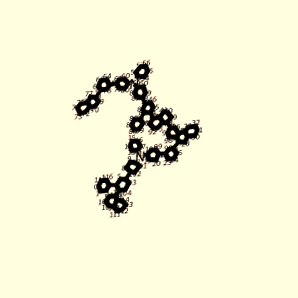 c1ccc(-c2cc(-c3ccc(N(c4ccccc4)c4ccc(-c5cccc(-c6cc7ccccc7c7cc(-c8cccc9c(-c%10ccc(-c%11ccc(N(c%12ccccc%12)c%12ccc(-c%13cccc(-c%14ccc%15ccccc%15c%14)c%13)cc%12)cc%11)cc%10-c%10ccccc%10)cccc89)ccc67)c5)cc4)cc3)ccc2-c2cccc3ccccc23)cc1